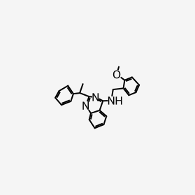 COc1ccccc1CNc1nc(C(C)c2ccccc2)nc2ccccc12